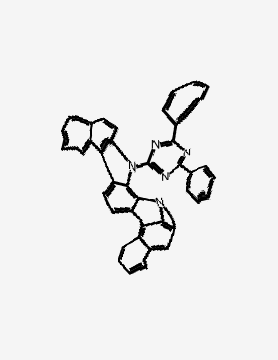 c1ccc(-c2nc(-c3ccccc3)nc(-n3c4ccc5ccccc5c4c4ccc5c6c7ccccc7cc7c6n-7c5c43)n2)cc1